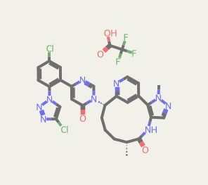 C[C@@H]1CCC[C@H](n2cnc(-c3cc(Cl)ccc3-n3cc(Cl)nn3)cc2=O)c2cc(ccn2)-c2c(cnn2C)NC1=O.O=C(O)C(F)(F)F